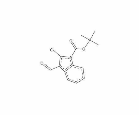 CC(C)(C)OC(=O)n1c(Cl)c(C=O)c2ccccc21